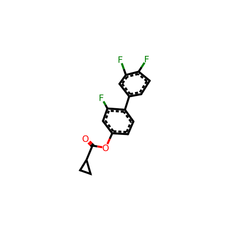 O=C(Oc1ccc(-c2ccc(F)c(F)c2)c(F)c1)C1CC1